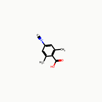 [C-]#[N+]c1cc(C)c(C(=O)O)c(C)c1